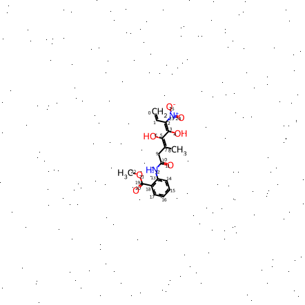 C=C/C(=C(O)\C(O)=C(/C)CC(=O)Nc1ccccc1C(=O)OC)[N+](=O)[O-]